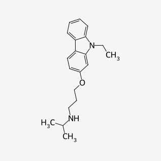 CCn1c2ccccc2c2ccc(OCCCNC(C)C)cc21